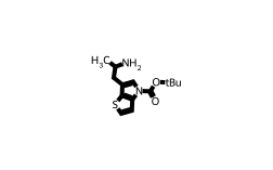 CC(N)Cc1cn(C(=O)OC(C)(C)C)c2ccsc12